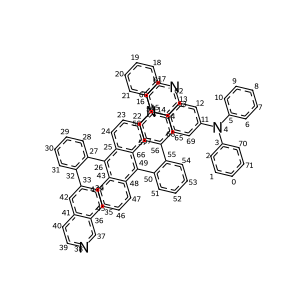 c1ccc(N(c2ccccc2)c2ccc(N(c3ccccc3)c3ccc4c(-c5ccccc5-c5ccc6cnccc6c5)c5ccccc5c(-c5ccccc5-c5ccc6ccncc6c5)c4c3)cc2)cc1